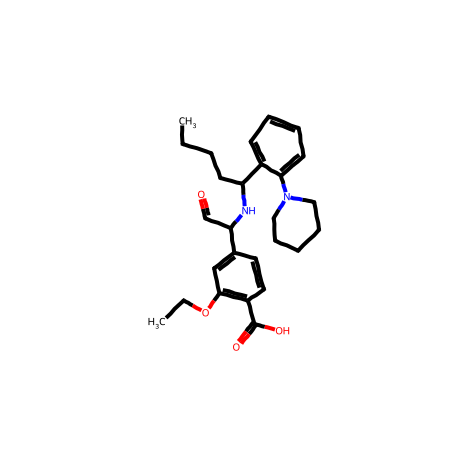 CCCCC(NC(C=O)c1ccc(C(=O)O)c(OCC)c1)c1ccccc1N1CCCCC1